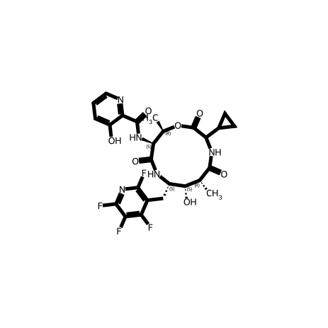 C[C@H]1OC(=O)C(C2CC2)NC(=O)[C@H](C)[C@H](O)[C@H](Cc2c(F)nc(F)c(F)c2F)NC(=O)[C@H]1NC(=O)c1ncccc1O